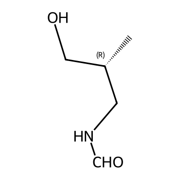 C[C@@H](CO)CNC=O